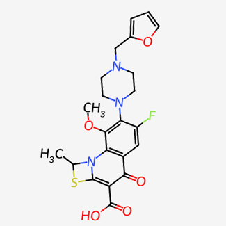 COc1c(N2CCN(Cc3ccco3)CC2)c(F)cc2c(=O)c(C(=O)O)c3n(c12)C(C)S3